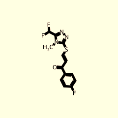 Cn1c(S/C=C/C(=O)c2ccc(F)cc2)nnc1C(F)F